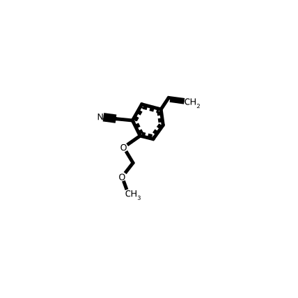 C=Cc1ccc(OCOC)c(C#N)c1